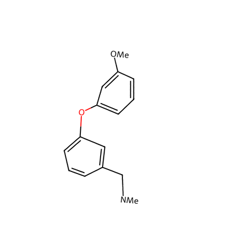 CNCc1cccc(Oc2cccc(OC)c2)c1